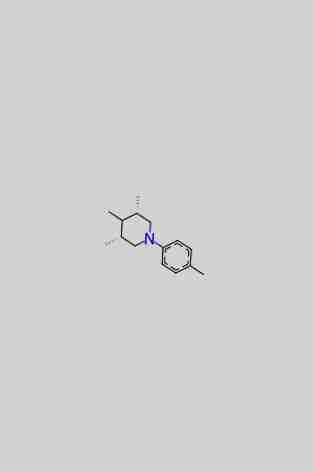 Cc1ccc(N2C[C@@H](C)C(C)[C@@H](C)C2)cc1